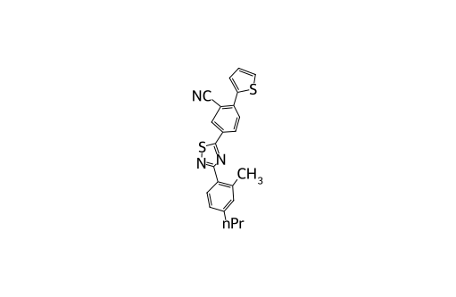 CCCc1ccc(-c2nsc(-c3ccc(-c4cccs4)c(C#N)c3)n2)c(C)c1